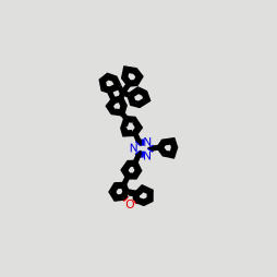 c1ccc(-c2nc(-c3ccc(-c4ccc5c(c4)C(c4ccccc4)(c4ccccc4)c4ccccc4-5)cc3)nc(-c3ccc(-c4cccc5oc6ccccc6c45)cc3)n2)cc1